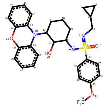 O=S(=NCC1CC1)(NC1CCCC(N2c3ccccc3Oc3ccccc32)C1O)c1ccc(OC(F)(F)F)cc1